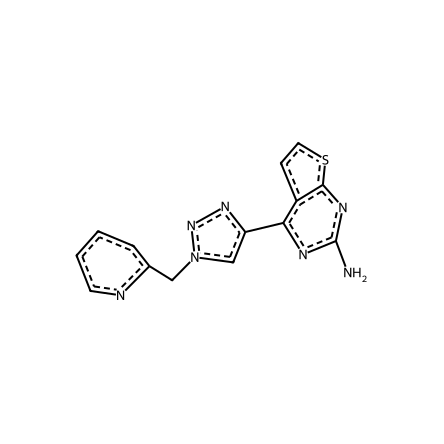 Nc1nc(-c2cn(Cc3ccccn3)nn2)c2ccsc2n1